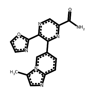 Cc1cnc2ccc(-c3nc(C(N)=O)cnc3-c3ncco3)cn12